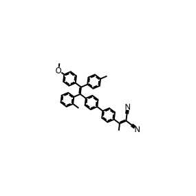 COc1ccc(/C(=C(/c2ccc(-c3ccc(C(C)=C(C#N)C#N)cc3)cc2)c2ccccc2C)c2ccc(C)cc2)cc1